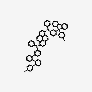 Cc1ccc(-c2ccccc2-c2ccccc2-c2cccc(N(c3ccccc3)c3ccc4ccc5c(N(c6ccccc6)c6cccc(C7(c8ccc(C)cc8)c8ccccc8-c8ccccc87)c6)ccc6ccc3c4c65)c2)cc1